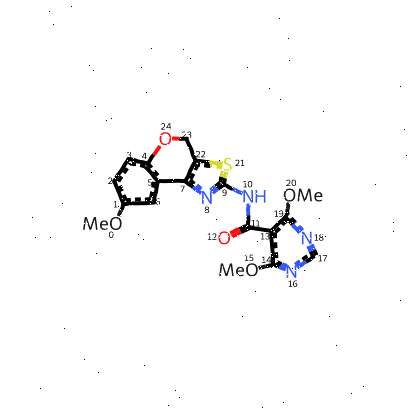 COc1ccc2c(c1)-c1nc(NC(=O)c3c(OC)ncnc3OC)sc1CO2